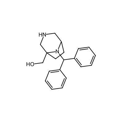 OCC12CCC(CNC1)N2C(c1ccccc1)c1ccccc1